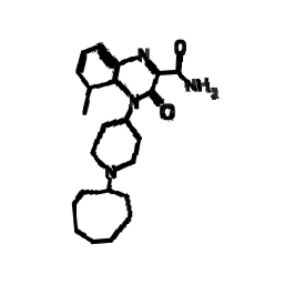 CC1C=CC=C2N=C(C(N)=O)C(=O)N(C3CCN(C4CCCCCCC4)CC3)C21